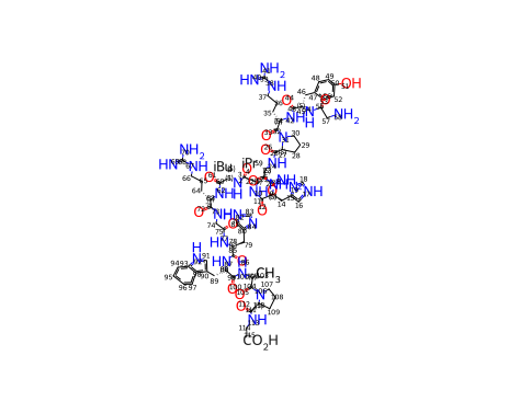 CC[C@H](C)[C@H](NC(=O)[C@H](CC(N)=O)NC(=O)[C@H](Cc1c[nH]cn1)NC(=O)[C@@H](NC(=O)[C@@H]1CCCN1C(=O)[C@H](CCCNC(=N)N)NC(=O)[C@H](Cc1ccc(O)cc1)NC(=O)CN)C(C)C)C(=O)N[C@@H](CCCNC(=N)N)C(=O)NCC(=O)N[C@@H](Cc1c[nH]cn1)C(=O)N[C@@H](Cc1c[nH]c2ccccc12)C(=O)N[C@@H](C)C(=O)N1CCC[C@H]1C(=O)NCC(=O)O